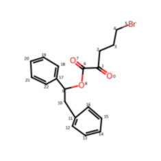 O=C(CCCBr)C(=O)OC(Cc1ccccc1)c1ccccc1